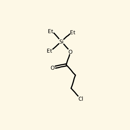 CC[Si](CC)(CC)OC(=O)CCCl